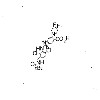 Cn1c(Nc2c(Cl)ccc(CNC(=O)C(C)(C)C)c2Cl)nc2cc(C(=O)O)c(N3CCC(F)(F)CC3)cc21